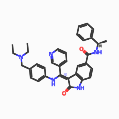 CCN(CC)Cc1ccc(N/C(=C2\C(=O)Nc3ccc(C(=O)N[C@H](C)c4ccccc4)cc32)c2cccnc2)cc1